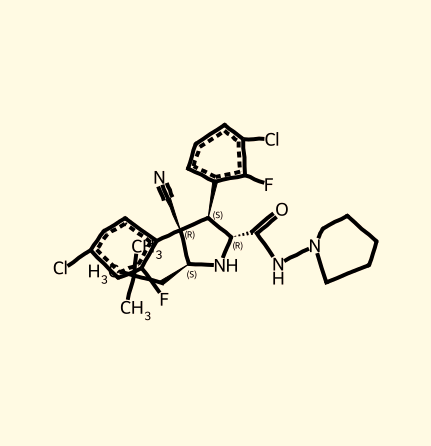 CC(C)(C)C[C@@H]1N[C@@H](C(=O)NN2CCCCC2)[C@H](c2cccc(Cl)c2F)[C@@]1(C#N)c1ccc(Cl)cc1F